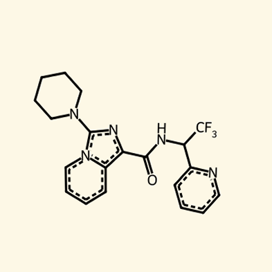 O=C(NC(c1ccccn1)C(F)(F)F)c1nc(N2CCCCC2)n2ccccc12